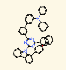 c1ccc(-c2ccc(-c3cccc4c5ccccc5n(-c5nc(-c6ccccc6)nc(-c6cccc(-c7cccc(N(c8ccccc8)c8ccccc8)c7)c6)n5)c34)cc2)cc1